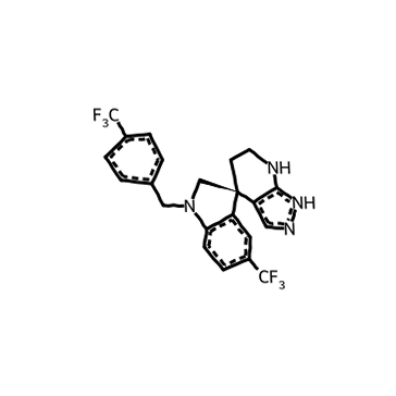 FC(F)(F)c1ccc(CN2C[C@]3(CCNc4[nH]ncc43)c3cc(C(F)(F)F)ccc32)cc1